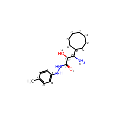 Cc1ccc(NNC(=O)[C@@H](O)[C@H](N)C2CCCCCCC2)cc1